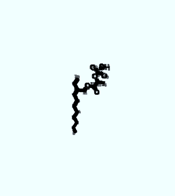 CCCCCCCCC(CC)COC(=O)C(C)OS(=O)(=O)O